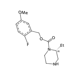 CC[C@@H]1CNCCN1C(=O)OCc1cc(OC)ccc1F